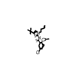 CCCCn1cc(C(C)(C)C)sc1=NC(=S)c1cc(Cl)ccc1OC